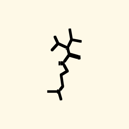 CC(C)N(C(=S)NCCCN(C)C)C(C)C